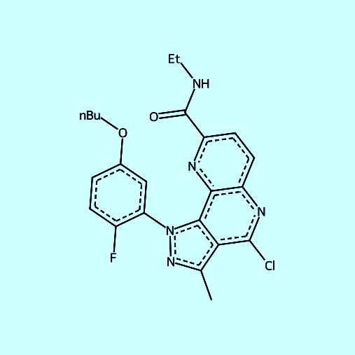 CCCCOc1ccc(F)c(-n2nc(C)c3c(Cl)nc4ccc(C(=O)NCC)nc4c32)c1